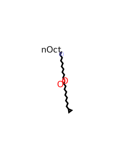 CCCCCCCC/C=C/CCCCCCCCOC(=O)CCCCCCCCC1CC1